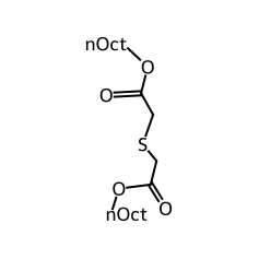 CCCCCCCCOC(=O)CSCC(=O)OCCCCCCCC